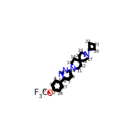 FC(F)(F)Oc1ccc(-c2ccc(N3CCC4(CC3)CCN(C3CCC3)CC4)nn2)cc1